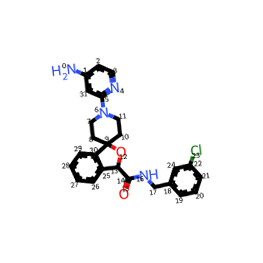 Nc1ccnc(N2CCC3(CC2)OC(C(=O)NCc2cccc(Cl)c2)c2ccccc23)c1